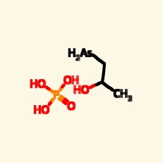 CC(O)C[AsH2].O=P(O)(O)O